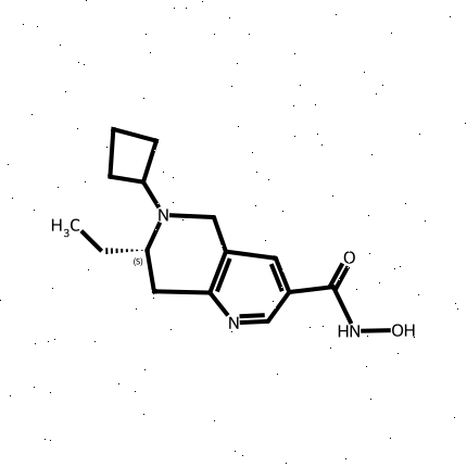 CC[C@H]1Cc2ncc(C(=O)NO)cc2CN1C1CCC1